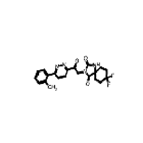 Cc1ccccc1-c1ccc(C(=O)CN2C(=O)NC3(CCC(F)(F)CC3)C2=O)nn1